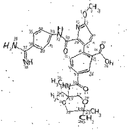 COc1ccc(-c2ccc(C(=O)NC3(C(C)C)COC(C)(C)CO3)cc2C(=O)O)c(C(=O)Nc2ccc(C(=N)N)cc2)n1